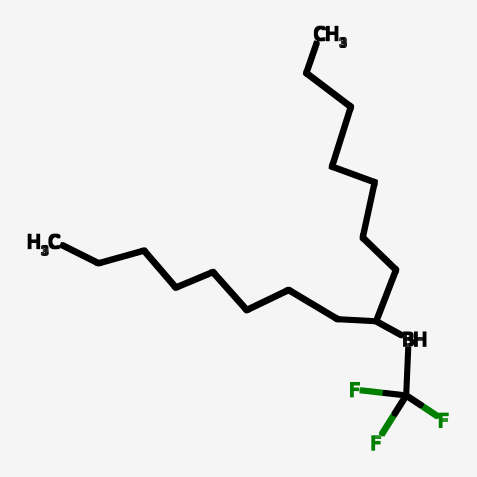 CCCCCCCCC(BC(F)(F)F)CCCCCCC